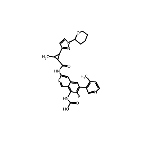 Cc1ccncc1-c1cc2cc(NC(=O)C3C(C)C3c3ccn(C4CCCCO4)n3)ncc2c(NC(=O)O)c1F